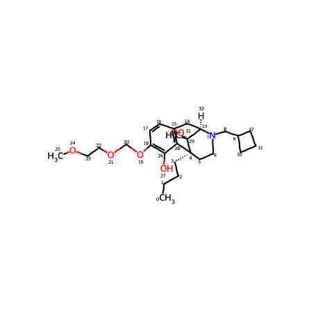 CCCC[C@]12CCN(CC3CCC3)[C@H](Cc3ccc(OCOCCOC)c(O)c31)[C@@]2(C)O